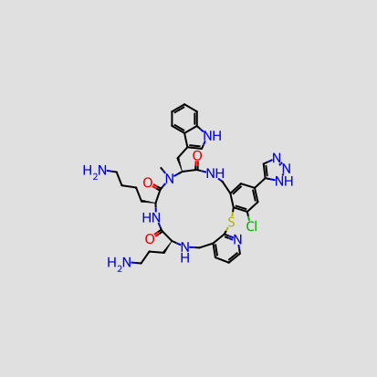 CN1C(=O)[C@H](CCCCN)NC(=O)[C@H](CCCN)NCc2cccnc2Sc2c(Cl)cc(-c3cnn[nH]3)cc2CNC(=O)[C@@H]1Cc1c[nH]c2ccccc12